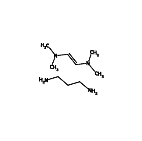 CN(C)/C=C/N(C)C.NCCCN